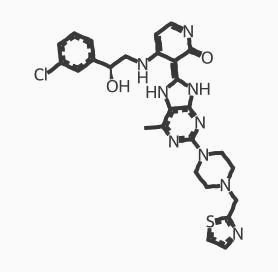 Cc1nc(N2CCN(Cc3nccs3)CC2)nc2c1NC(=C1C(=O)N=CC=C1NC[C@@H](O)c1cccc(Cl)c1)N2